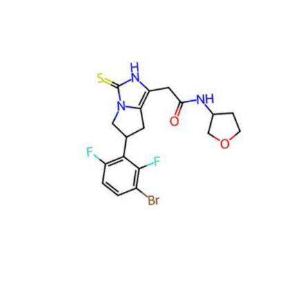 O=C(Cc1[nH]c(=S)n2c1CC(c1c(F)ccc(Br)c1F)C2)NC1CCOC1